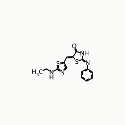 CCNc1ncc(/C=C2\S/C(=N\c3ccccc3)NC2=O)s1